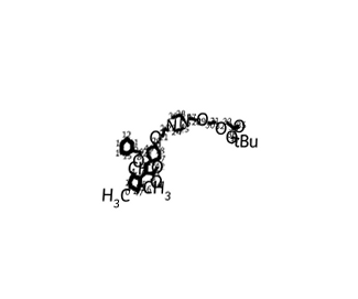 Cc1cc(C)c(C2=C(OCc3ccccc3)C3(CCC(OCCN4CCN(CCOCCOCC(=O)OC(C)(C)C)CC4)CC3)OC2=O)c(C)c1